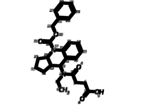 CCN(C(=O)CCC(=O)O)C1c2ccccc2N(C(=O)OCc2ccccc2)C2CCCC12